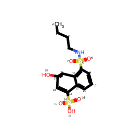 CCCCNS(=O)(=O)c1cccc2c(S(=O)(=O)O)cc(O)cc12